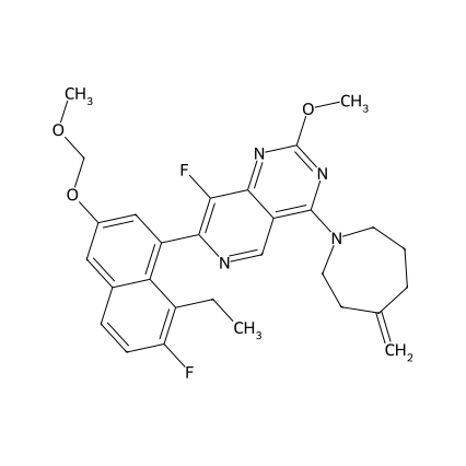 C=C1CCCN(c2nc(OC)nc3c(F)c(-c4cc(OCOC)cc5ccc(F)c(CC)c45)ncc23)CC1